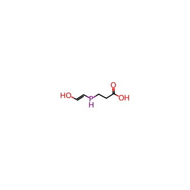 O=C(O)CCPC=CO